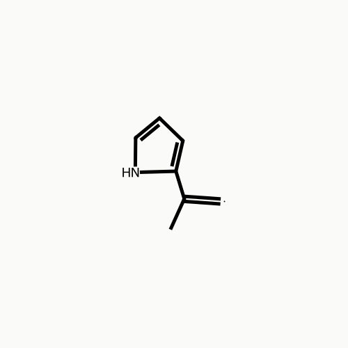 [CH]=C(C)c1ccc[nH]1